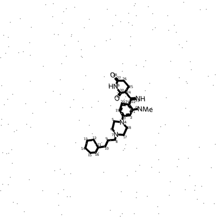 CNc1cc(N2CCN(CCCC3CCCCC3)CC2)ccc1C(=N)C1CCC(=O)NC1=O